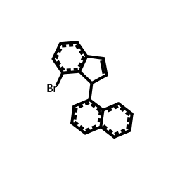 Brc1cccc2c1C(c1cccc3ccccc13)C=C2